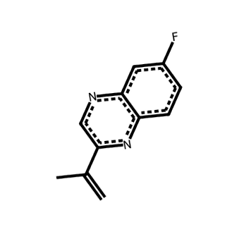 C=C(C)c1cnc2cc(F)ccc2n1